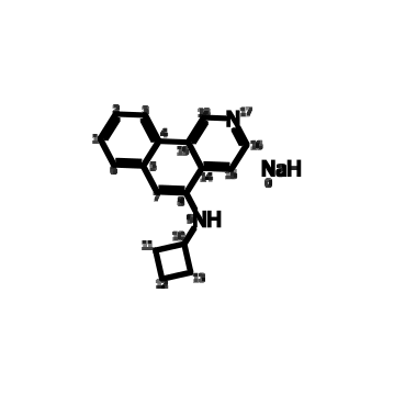 [NaH].c1ccc2c(c1)cc(NC1CCC1)c1ccncc12